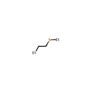 [CH2]CC[CH]SCC